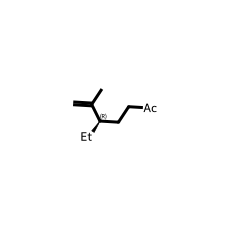 C=C(C)[C@H](CC)CCC(C)=O